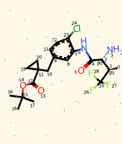 C[C@H]([C@@H](N)C(=O)Nc1cc(CC2(C(=O)OC(C)(C)C)CC2)ccc1Cl)C(F)(F)F